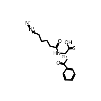 [N-]=[N+]=NCCCCC(=O)N[C@@H](CC(=O)c1ccccc1)C(O)=S